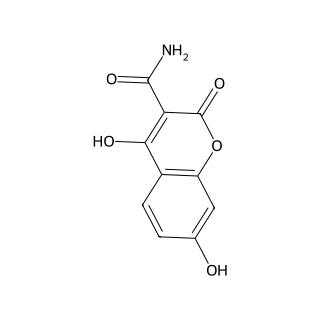 NC(=O)c1c(O)c2ccc(O)cc2oc1=O